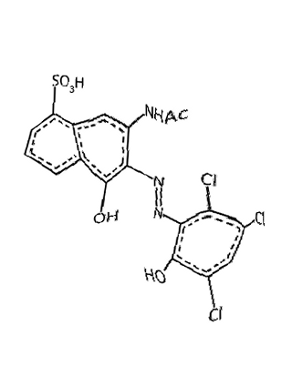 CC(=O)Nc1cc2c(S(=O)(=O)O)cccc2c(O)c1N=Nc1c(O)c(Cl)cc(Cl)c1Cl